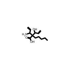 C=CC(N)C(CCCCC)(C(=O)O)C(O)C=C